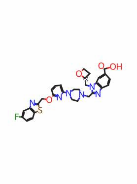 O=C(O)c1ccc2nc(CN3CCN(c4cccc(OCc5nc6cc(F)ccc6s5)n4)CC3)n(C[C@@H]3CCO3)c2c1